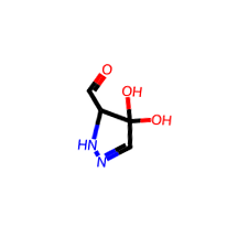 O=CC1NN=CC1(O)O